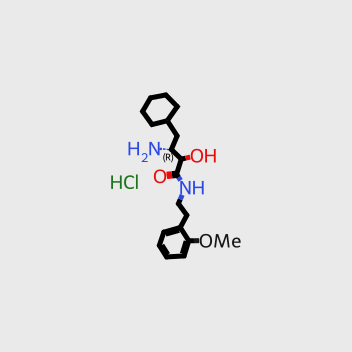 COc1ccccc1CCNC(=O)C(O)[C@H](N)CC1CCCCC1.Cl